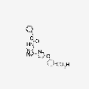 Cn1ncc(-c2ccc(O[C@H]3CCCC(C(=O)O)C3)cn2)c1CNC(=O)OCc1ccccc1